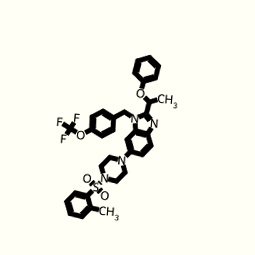 Cc1ccccc1S(=O)(=O)N1CCN(c2ccc3nc(C(C)Oc4ccccc4)n(Cc4ccc(OC(F)(F)F)cc4)c3c2)CC1